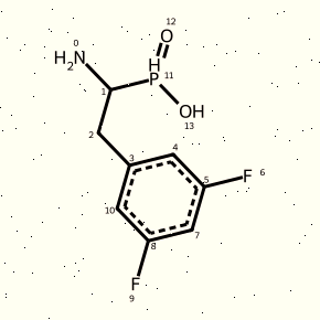 NC(Cc1cc(F)cc(F)c1)[PH](=O)O